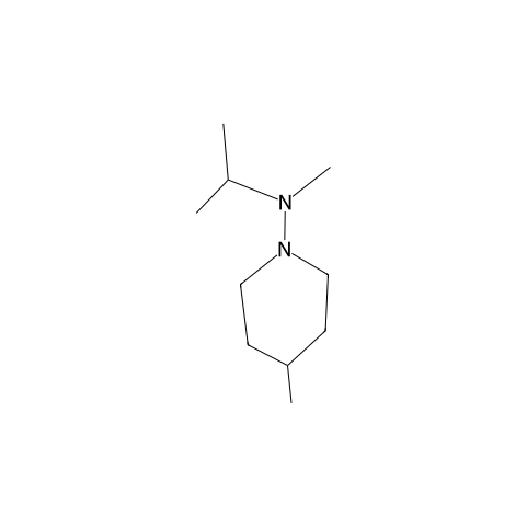 CC1CCN(N(C)C(C)C)CC1